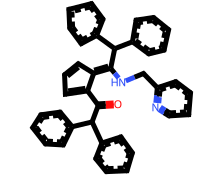 O=C(C1=CC=CC1=C(NCc1ccccn1)C(c1ccccc1)c1ccccc1)C(c1ccccc1)c1ccccc1